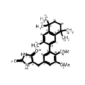 COc1cc(CC2NC(=O)NC2=O)cc(-c2cc3c(cc2C)C(C)(C)CCC3(C)C)c1OC